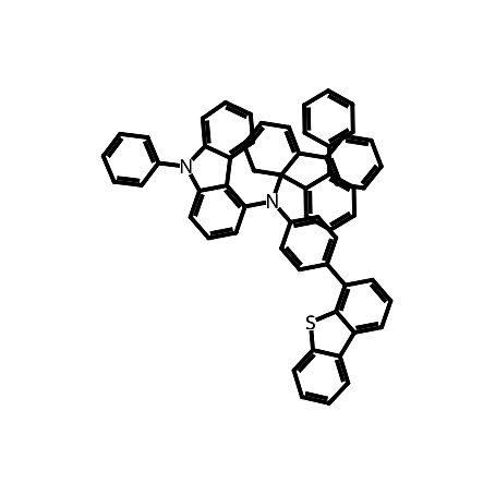 C1=CCC(c2ccccc2-c2ccccc2)(N(c2ccc(-c3cccc4c3sc3ccccc34)cc2)c2cccc3c2c2ccccc2n3-c2ccccc2)C(c2ccccc2)=C1